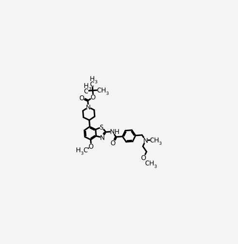 COCCN(C)Cc1ccc(C(=O)Nc2nc3c(OC)ccc(C4CCN(C(=O)OC(C)(C)C)CC4)c3s2)cc1